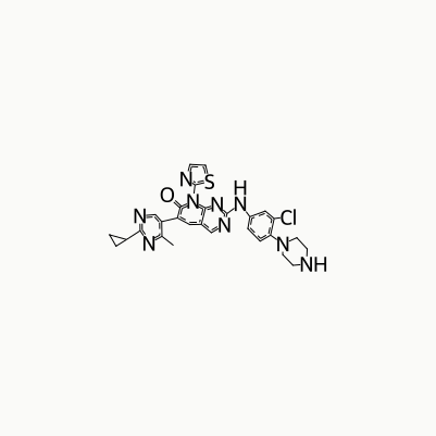 Cc1nc(C2CC2)ncc1-c1cc2cnc(Nc3ccc(N4CCNCC4)c(Cl)c3)nc2n(-c2nccs2)c1=O